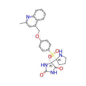 Cc1cc(COc2ccc(S(=O)(=O)[C@@]3([C@]4(C)NC(=O)NC4=O)CCCN3)cc2)c2ccccc2n1